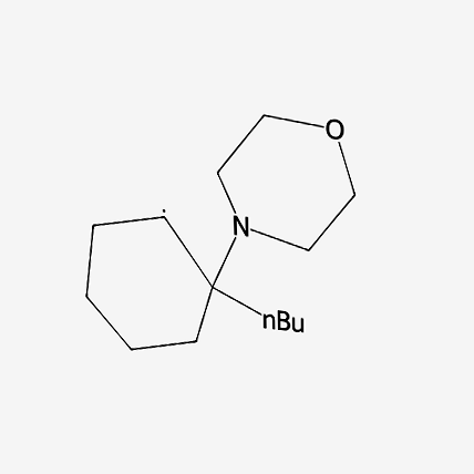 CCCCC1(N2CCOCC2)[CH]CCCC1